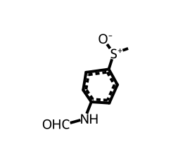 C[S+]([O-])c1ccc(NC=O)cc1